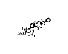 COC(=O)[C@H](C)N[C@H](C)c1ccc(OCCc2nc(-c3ccccc3)oc2C)cc1